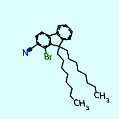 CCCCCCCCC1(CCCCCCCC)c2ccccc2-c2ccc(C#N)c(Br)c21